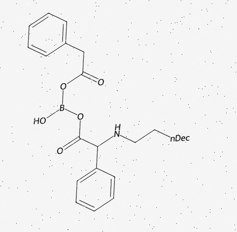 CCCCCCCCCCCCNC(C(=O)OB(O)OC(=O)Cc1ccccc1)c1ccccc1